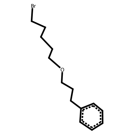 BrCCCCCOCCCc1ccccc1